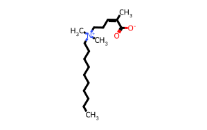 CCCCCCCCCC[N+](C)(C)CCC=C(C)C(=O)[O-]